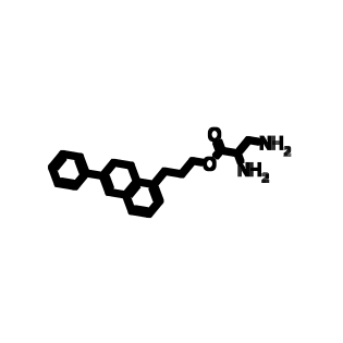 NCC(N)C(=O)OCCCc1cccc2c1CCC(c1ccccc1)=C2